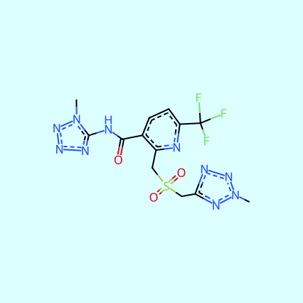 Cn1nnc(CS(=O)(=O)Cc2nc(C(F)(F)F)ccc2C(=O)Nc2nnnn2C)n1